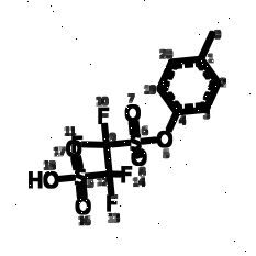 Cc1ccc(OS(=O)(=O)C(F)(F)C(F)(F)S(=O)(=O)O)cc1